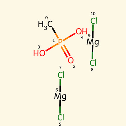 CP(=O)(O)O.[Cl][Mg][Cl].[Cl][Mg][Cl]